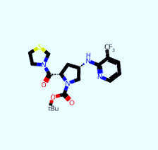 CC(C)(C)OC(=O)N1C[C@@H](Nc2ncccc2C(F)(F)F)C[C@H]1C(=O)N1CCSC1